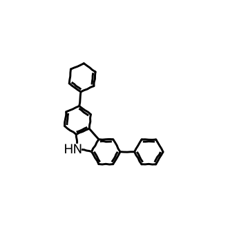 C1=CC(c2ccc3[nH]c4ccc(-c5ccccc5)cc4c3c2)=CCC1